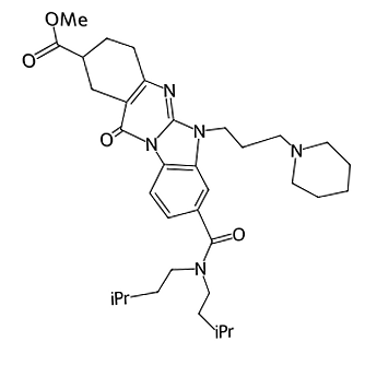 COC(=O)C1CCc2nc3n(CCCN4CCCCC4)c4cc(C(=O)N(CCC(C)C)CCC(C)C)ccc4n3c(=O)c2C1